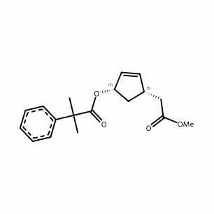 COC(=O)C[C@H]1C=C[C@@H](OC(=O)C(C)(C)c2ccccc2)C1